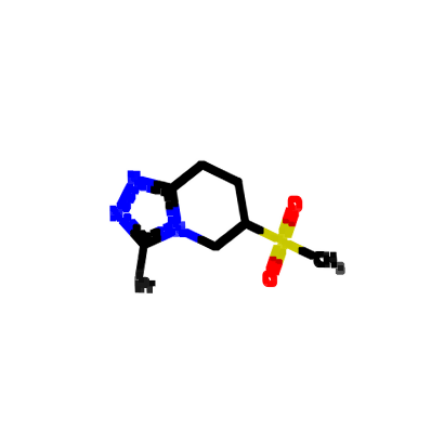 CC(C)c1nnc2n1CC(S(C)(=O)=O)CC2